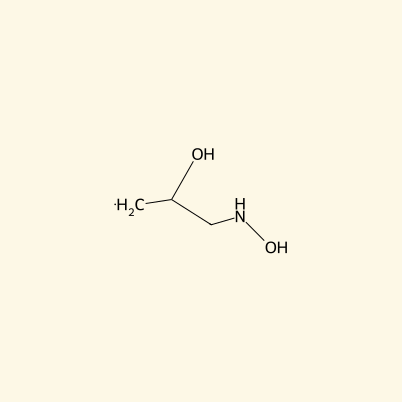 [CH2]C(O)CNO